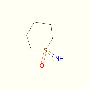 N=S1(=O)[CH]CCCC1